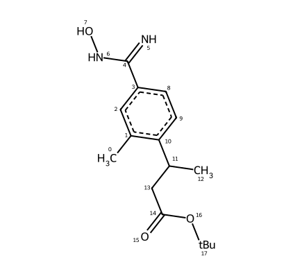 Cc1cc(C(=N)NO)ccc1C(C)CC(=O)OC(C)(C)C